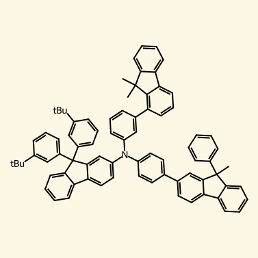 CC(C)(C)c1cccc(C2(c3cccc(C(C)(C)C)c3)c3ccccc3-c3ccc(N(c4ccc(-c5ccc6c(c5)C(C)(c5ccccc5)c5ccccc5-6)cc4)c4cccc(-c5cccc6c5C(C)(C)c5ccccc5-6)c4)cc32)c1